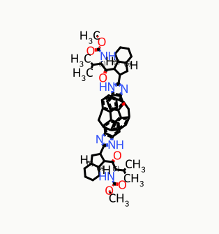 COC(=O)N[C@H](C(=O)C1C(c2nc3cc(-c4cc5ccc4CCc4ccc(c(-c6ccc7[nH]c(C8C[C@@H]9CCCC[C@@H]9C8C(=O)[C@@H](NC(=O)OC)C(C)C)nc7c6)c4)CC5)ccc3[nH]2)C[C@@H]2CCCC[C@H]12)C(C)C